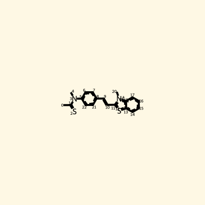 CC(=S)N(C)c1ccc(C=Cc2sc3ccccc3[n+]2C)cc1